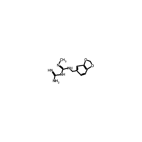 C/N=C(\NCc1ccc2c(c1)OCO2)NC(=N)N